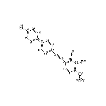 CCCOc1ccc(C#Cc2ccc(-c3ccc(CC)cc3)cc2)c(F)c1F